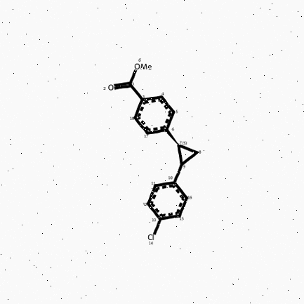 COC(=O)c1ccc([C@H]2CC2c2ccc(Cl)cc2)cc1